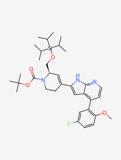 COc1ccc(F)cc1-c1ccnc2[nH]c(C3=C[C@H](CO[Si](C(C)C)(C(C)C)C(C)C)N(C(=O)OC(C)(C)C)CC3)cc12